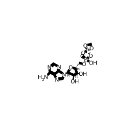 Nc1ncnc2c1ncn2[C@@H]1O[C@H](COP(=O)(O)OP2(=O)OCO2)[C@@H](O)[C@H]1O